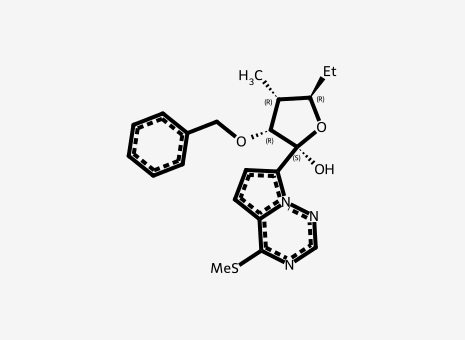 CC[C@H]1O[C@@](O)(c2ccc3c(SC)ncnn23)[C@H](OCc2ccccc2)[C@@H]1C